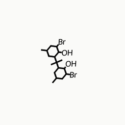 CC1CC(Br)C(O)C(C(C)(C)C2CC(C)CC(Br)C2O)C1